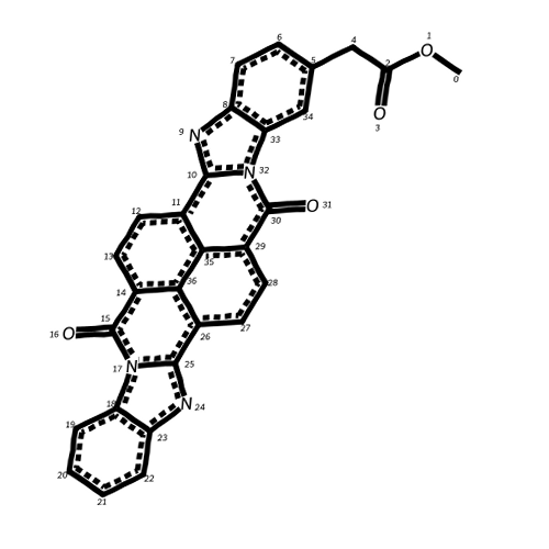 COC(=O)Cc1ccc2nc3c4ccc5c(=O)n6c7ccccc7nc6c6ccc(c(=O)n3c2c1)c4c56